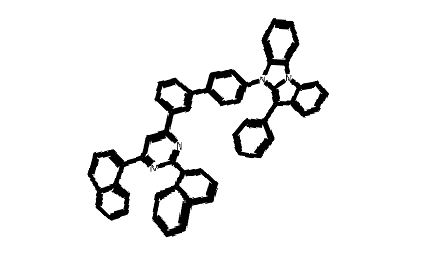 c1ccc(-c2c3ccccc3n3c4ccccc4n(-c4ccc(-c5cccc(-c6cc(-c7cccc8ccccc78)nc(-c7cccc8ccccc78)n6)c5)cc4)c23)cc1